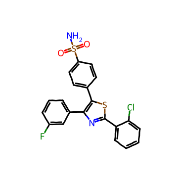 NS(=O)(=O)c1ccc(-c2sc(-c3ccccc3Cl)nc2-c2cccc(F)c2)cc1